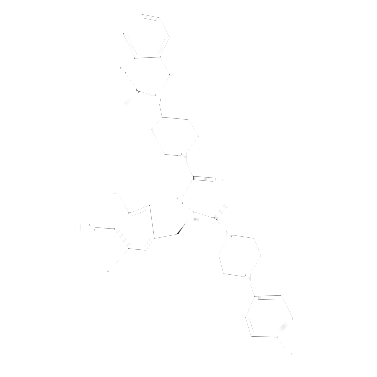 CC(=O)c1ccc(N2CCN(C(=O)[C@@H](Cc3cc(Br)c(N)c(Br)c3)NC(=O)N3CCC(N4Cc5ccccc5NC4=O)CC3)CC2)cc1